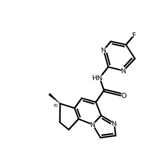 C[C@@H]1CCc2c1cc(C(=O)Nc1ncc(F)cn1)c1nccn21